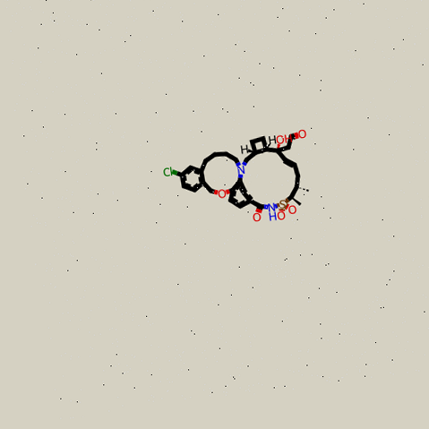 C[C@@H]1[C@@H](C)C/C=C/[C@@](O)(CC=O)[C@@H]2CC[C@H]2CN2CCCCc3cc(Cl)ccc3COc3ccc(cc32)C(=O)NS1(=O)=O